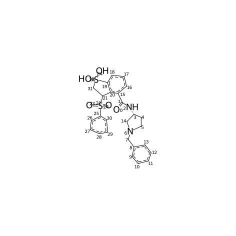 O=C(N[C@@H]1CCN(Cc2ccccc2)C1)c1cccc2c1C(S(=O)(=O)c1ccccc1)CS2(O)O